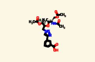 CC(=O)N[C@@H](COC(C)=O)C(C)OC(Cn1cc(-c2cccc(C(=O)O)c2)nn1)[C@@H](C)OC(C)=O